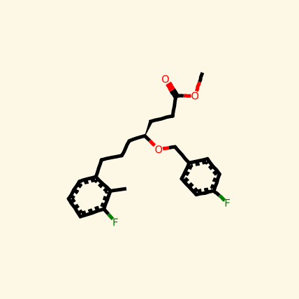 COC(=O)CC[C@H](CCCc1cccc(F)c1C)OCc1ccc(F)cc1